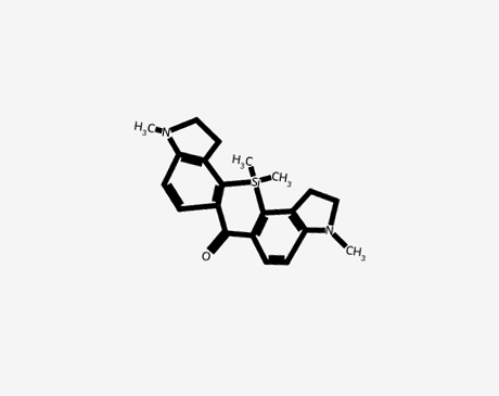 CN1CCc2c1ccc1c2[Si](C)(C)c2c(ccc3c2CCN3C)C1=O